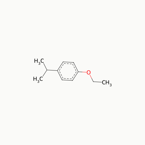 CCOc1ccc(C(C)C)cc1